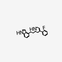 Fc1ccccc1C1=CCNC(CCc2cccc3[nH]ccc23)C1